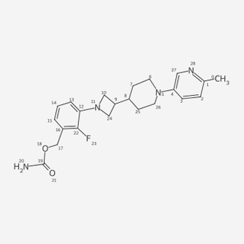 Cc1ccc(N2CCC(C3CN(c4cccc(COC(N)=O)c4F)C3)CC2)cn1